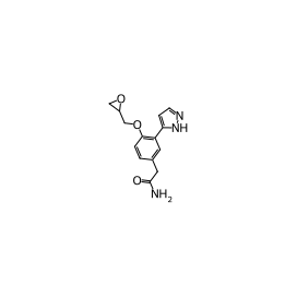 NC(=O)Cc1ccc(OCC2CO2)c(-c2ccn[nH]2)c1